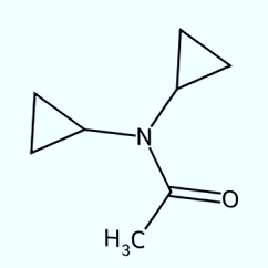 CC(=O)N(C1CC1)C1CC1